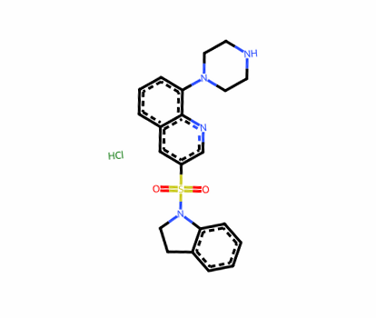 Cl.O=S(=O)(c1cnc2c(N3CCNCC3)cccc2c1)N1CCc2ccccc21